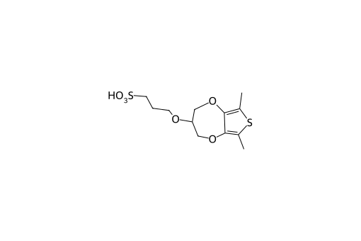 Cc1sc(C)c2c1OCC(OCCCS(=O)(=O)O)CO2